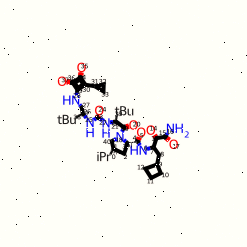 CC(C)[C@@H]1C[C@@H](C(=O)NC(CC2CCC2)C(=O)C(N)=O)N(C(=O)[C@@H](NC(=O)N[C@H](CNc2c(C3CC3)c(=O)c2=O)C(C)(C)C)C(C)(C)C)C1